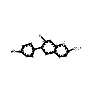 CCOC(=O)c1ccc2cc(-c3ccc(O)cc3)c(F)cc2n1